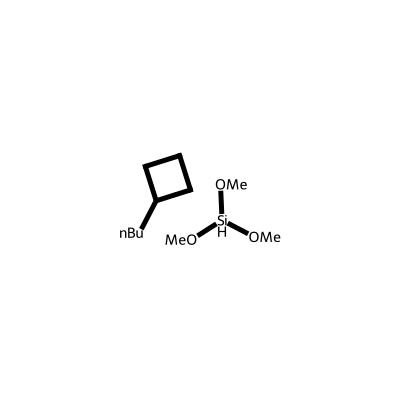 CCCCC1CCC1.CO[SiH](OC)OC